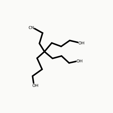 [C-]#[N+]CCC(CCCO)(CCCO)CCCO